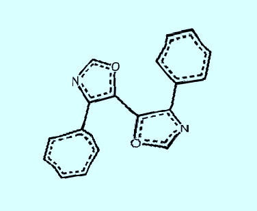 c1ccc(-c2ncoc2-c2ocnc2-c2ccccc2)cc1